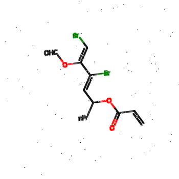 C=CC(=O)OC(/C=C(Br)/C(=C/Br)OC=O)CCC